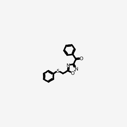 O=C(c1ccccc1)c1noc(CSc2ccccc2)n1